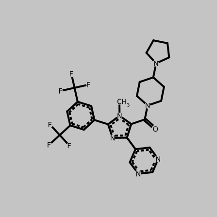 Cn1c(-c2cc(C(F)(F)F)cc(C(F)(F)F)c2)nc(-c2cncnc2)c1C(=O)N1CCC(N2CCCC2)CC1